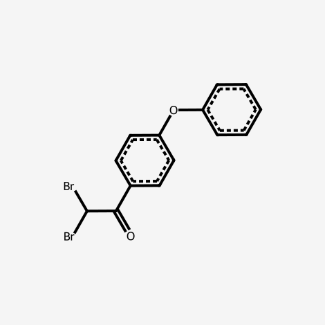 O=C(c1ccc(Oc2ccccc2)cc1)C(Br)Br